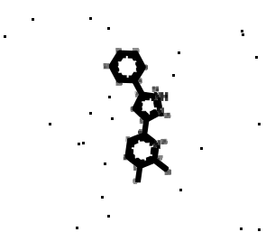 Cc1ccc(-c2cc(-c3ccccc3)[nH]n2)nc1C